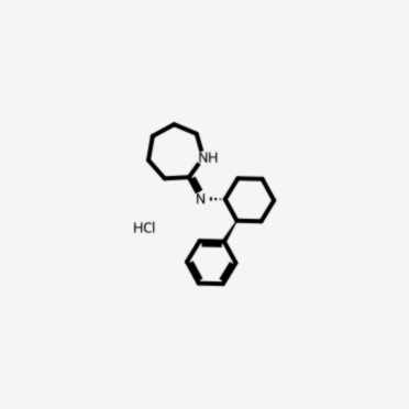 Cl.c1ccc([C@@H]2CCCC[C@H]2N=C2CCCCCN2)cc1